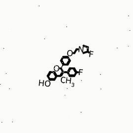 CC1=C(c2ccc(F)cc2)[C@H](c2ccc(OCCN3CCC(F)C3)cc2)Oc2ccc(O)cc21